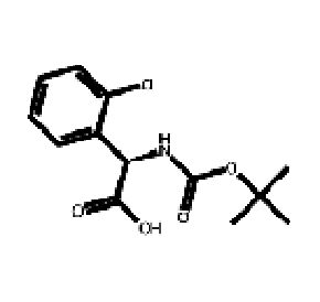 CC(C)(C)OC(=O)N[C@@H](C(=O)O)c1ccccc1Cl